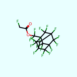 O=C(CF)OC(F)(F)C12C(F)(F)C3(F)C(F)(F)C(F)(C(F)(F)C(F)(C3(F)F)C1(F)F)C2(F)F